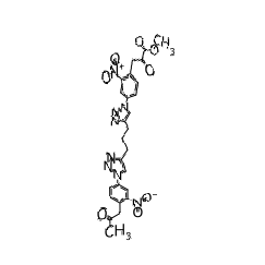 COC(=O)C(=O)Cc1ccc(-n2cc(CCCc3cn(-c4ccc(CC(C)=O)c([N+](=O)[O-])c4)nn3)nn2)cc1[N+](=O)[O-]